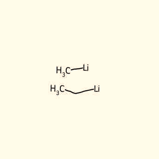 [Li][CH2]C.[Li][CH3]